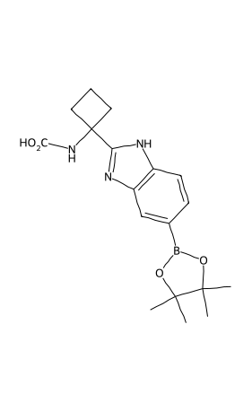 CC1(C)OB(c2ccc3[nH]c(C4(NC(=O)O)CCC4)nc3c2)OC1(C)C